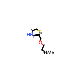 CNCCOCC1=CNCCS1